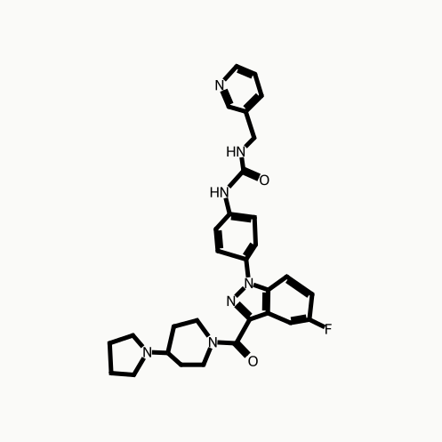 O=C(NCc1cccnc1)Nc1ccc(-n2nc(C(=O)N3CCC(N4CCCC4)CC3)c3cc(F)ccc32)cc1